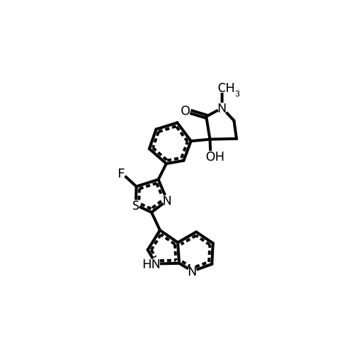 CN1CCC(O)(c2cccc(-c3nc(-c4c[nH]c5ncccc45)sc3F)c2)C1=O